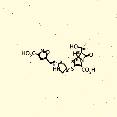 C[C@@H](O)[C@H]1C(=O)N2C(C(=O)O)=C(S[C@@H]3CN[C@H](/C=C/c4cc(C(=O)O)no4)C3)[C@H](C)[C@H]12